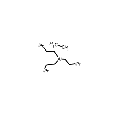 CC.CC(C)C[CH2][Al]([CH2]CC(C)C)[CH2]CC(C)C